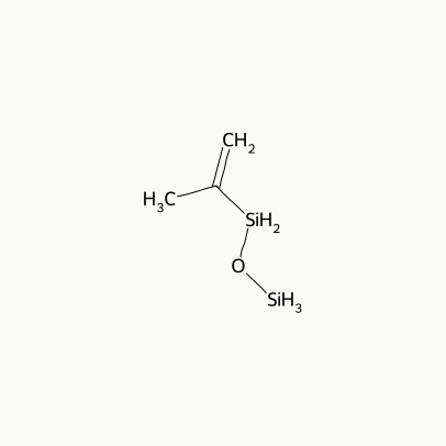 C=C(C)[SiH2]O[SiH3]